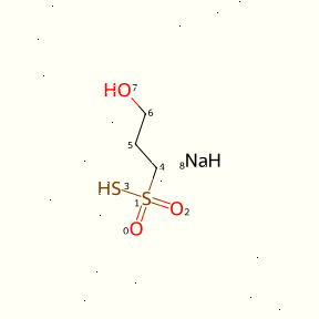 O=S(=O)(S)CCCO.[NaH]